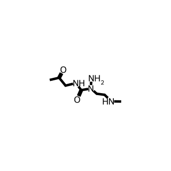 CNCCN(N)C(=O)NCC(C)=O